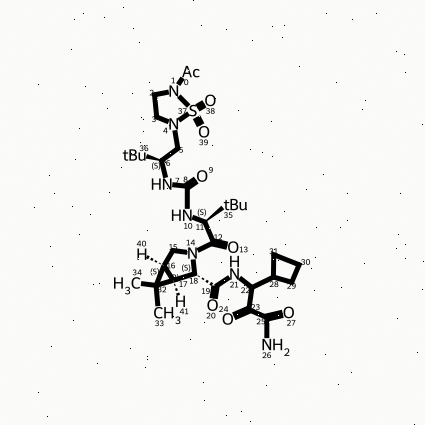 CC(=O)N1CCN(C[C@@H](NC(=O)N[C@H](C(=O)N2C[C@H]3[C@@H]([C@H]2C(=O)NC(C(=O)C(N)=O)C2CCC2)C3(C)C)C(C)(C)C)C(C)(C)C)S1(=O)=O